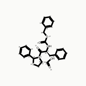 O=C(N[C@@H](Cc1ccccc1)C(=O)N1C(c2ccccc2)SC[C@H]1C(=O)O)OCc1ccccc1